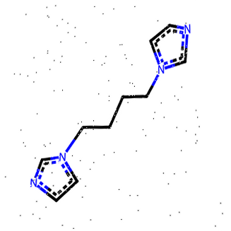 c1cn(CCCCn2ccnc2)cn1